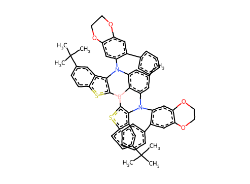 Cc1cc2c3c(c1)N(c1cc4c(cc1-c1ccccc1)OCCO4)c1c(sc4ccc(C(C)(C)C)cc14)B3c1sc3ccc(C(C)(C)C)cc3c1N2c1cc2c(cc1-c1ccccc1)OCCO2